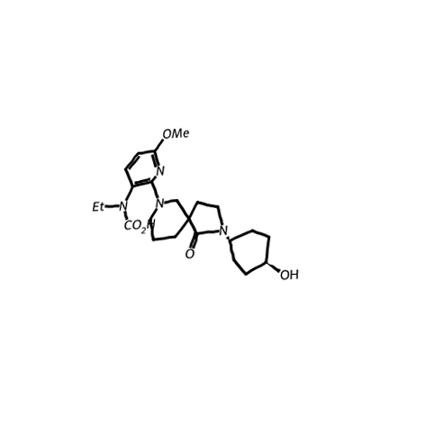 CCN(C(=O)O)c1ccc(OC)nc1N1CCCC2(CCN([C@H]3CC[C@H](O)CC3)C2=O)C1